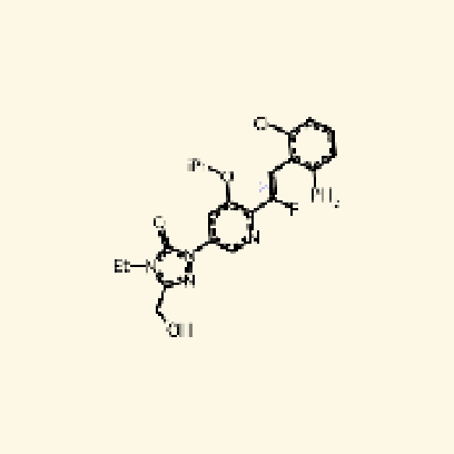 CCn1c(CO)nn(-c2cnc(/C(F)=C/c3c(P)cccc3Cl)c(OC(C)C)c2)c1=O